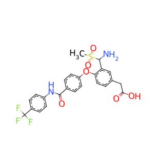 CS(=O)(=O)C(N)c1cc(CC(=O)O)ccc1Oc1ccc(C(=O)Nc2ccc(C(F)(F)F)cc2)cc1